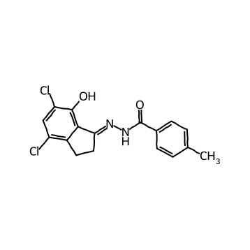 Cc1ccc(C(=O)N/N=C2\CCc3c(Cl)cc(Cl)c(O)c32)cc1